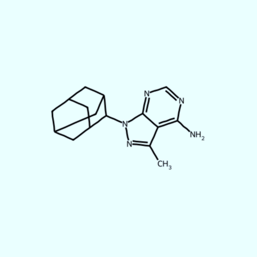 Cc1nn(C2C3CC4CC(C3)CC2C4)c2ncnc(N)c12